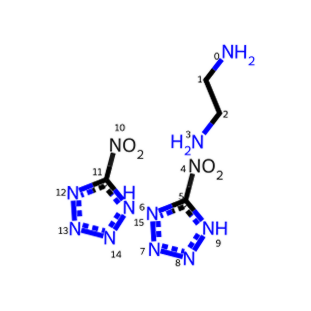 NCCN.O=[N+]([O-])c1nnn[nH]1.O=[N+]([O-])c1nnn[nH]1